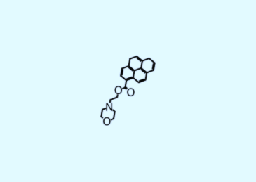 O=C(OCCN1CCOCC1)c1ccc2c3c4c(ccc13)C=CCC4=CC2